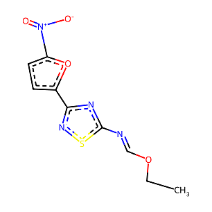 CCOC=Nc1nc(-c2ccc([N+](=O)[O-])o2)ns1